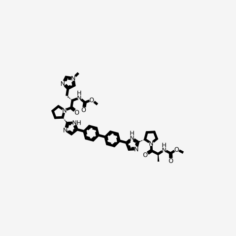 COC(=O)N[C@@H](C)C(=O)N1CCC[C@H]1c1ncc(-c2ccc(-c3ccc(-c4cnc([C@@H]5CCCN5C(=O)[C@H](Cc5cn(C)cn5)NC(=O)OC)[nH]4)cc3)cc2)[nH]1